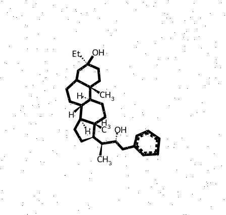 CC[C@]1(O)CC[C@@]2(C)C(CC[C@H]3[C@@H]4CC[C@H]([C@H](C)[C@H](O)Cc5ccccc5)[C@@]4(C)CC[C@@H]32)C1